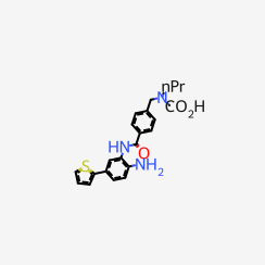 CCCN(Cc1ccc(C(=O)Nc2cc(-c3cccs3)ccc2N)cc1)C(=O)O